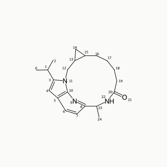 CC(C)c1cc2ccc3nc2n1CC1CC1CCCCC(=O)NC3C